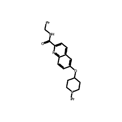 CC(C)CNC(=O)c1ccc2cc(OC3CCN(C(C)C)CC3)ccc2n1